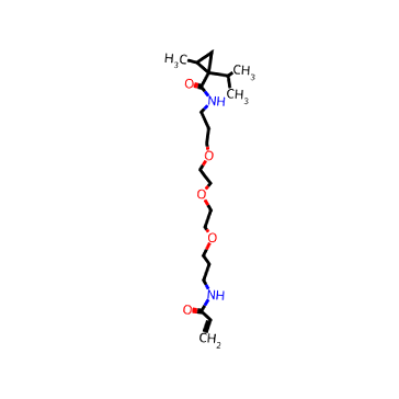 C=CC(=O)NCCCOCCOCCOCCCNC(=O)C1(C(C)C)CC1C